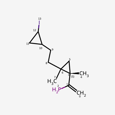 C=C(P)[C@@]1(C)CC1(C)CCC1CC1I